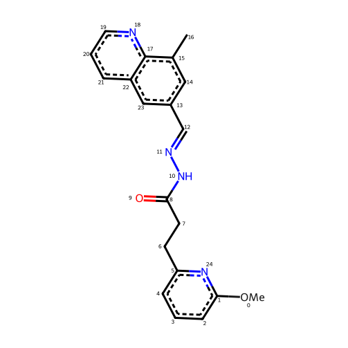 COc1cccc(CCC(=O)NN=Cc2cc(C)c3ncccc3c2)n1